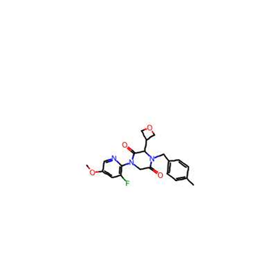 COc1cnc(N2CC(=O)N(Cc3ccc(C)cc3)C(C3COC3)C2=O)c(F)c1